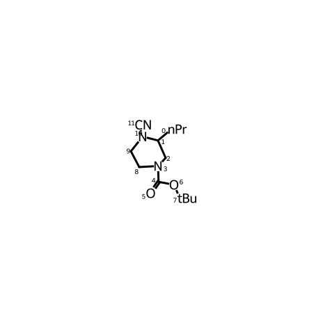 CCCC1CN(C(=O)OC(C)(C)C)CCN1C#N